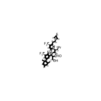 Cc1cc(C)c(-c2cc([C@@H](NC(=O)[C@H](CC(C)C)n3nc(CCN4CC(F)C4)c(C(F)(F)F)cc3=O)C(C=O)CO)c(F)c(C(F)(F)F)c2)c(C)c1